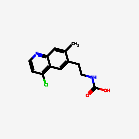 Cc1cc2nccc(Cl)c2cc1CCNC(=O)O